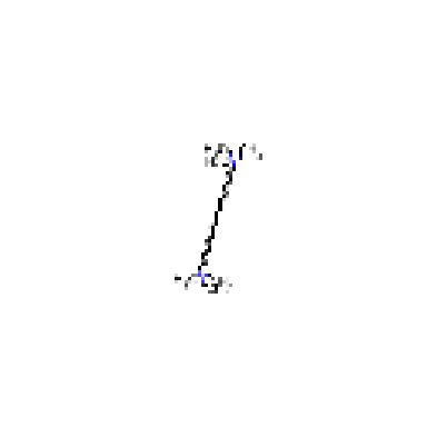 CC[N+](C)(CC)CCCCCCCCCCCCCCCC[N+](C)(CC)CC